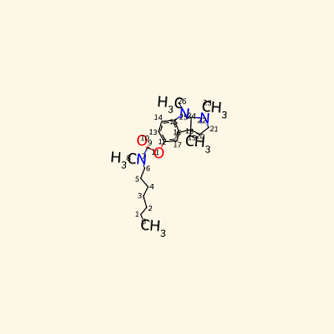 CCCCCCCN(C)C(=O)Oc1ccc2c(c1)C1(C)CCN(C)C1N2C